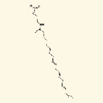 CCC=CCC=CCC=CCCCCCCCC(=O)NCCOP(=O)=O